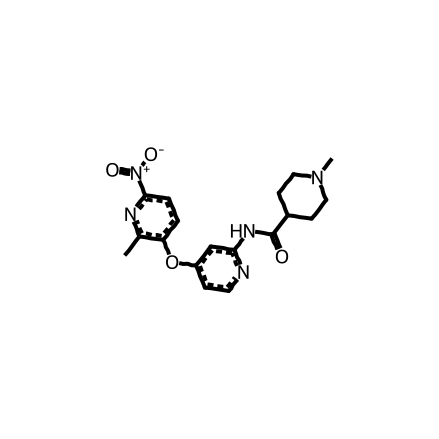 Cc1nc([N+](=O)[O-])ccc1Oc1ccnc(NC(=O)C2CCN(C)CC2)c1